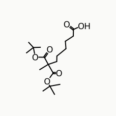 CC(C)(C)OC(=O)C(C)(CCCCCC(=O)O)C(=O)OC(C)(C)C